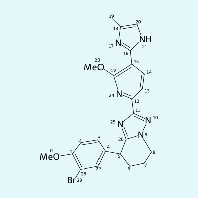 COc1ccc(C2CCCn3nc(-c4ccc(-c5nc(C)c[nH]5)c(OC)n4)nc32)cc1Br